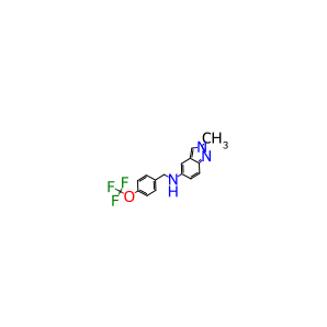 Cn1cc2cc(NCc3ccc(OC(F)(F)F)cc3)ccc2n1